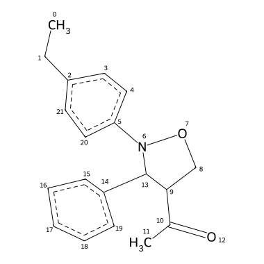 CCc1ccc(N2OCC(C(C)=O)C2c2ccccc2)cc1